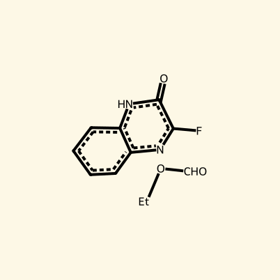 CCOC=O.O=c1[nH]c2ccccc2nc1F